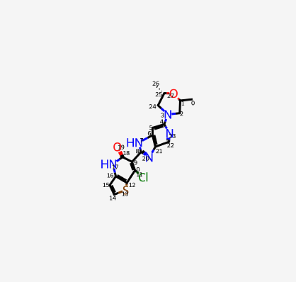 CC1CN(c2cc3[nH]c(-c4c(Cl)c5sccc5[nH]c4=O)nc3cn2)C[C@H](C)O1